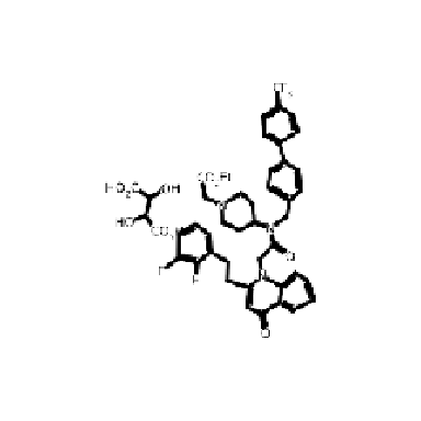 CCOC(=O)CN1CCC(N(Cc2ccc(-c3ccc(C(F)(F)F)cc3)cc2)C(=O)Cn2c(CCc3cccc(F)c3F)cc(=O)c3ccccc32)CC1.O=C(O)C(O)C(O)C(=O)O